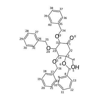 O=C1CC(CO)(OCc2ccccc2)C(OCc2ccccc2)C(OCc2ccccc2)C1OCc1ccccc1